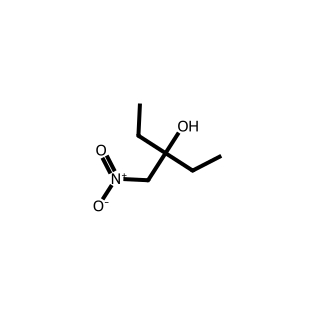 CCC(O)(CC)C[N+](=O)[O-]